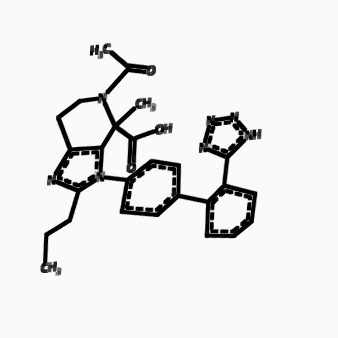 CCCc1nc2c(n1-c1ccc(-c3ccccc3-c3nnn[nH]3)cc1)C(C)(C(=O)O)N(C(C)=O)CC2